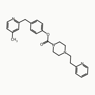 Cc1ccnc(Cc2ccc(OC(=O)N3CCN(CCc4ccccn4)CC3)cc2)c1